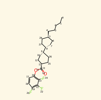 CCCCC[C@H]1CC[C@H]([C@H]2CC[C@H](C(=O)Oc3ccc(F)c(F)c3F)CC2)CC1